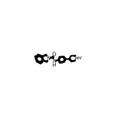 O=C(Nc1ccc(C2=CCNCC2)cc1)N1Cc2ccccc2C1